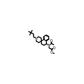 COC(=O)CN(C(C)=O)[C@H]1CCC2(CCN(CCC(C)(C)C)CC2)c2ccccc21